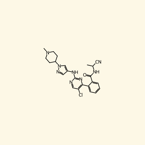 CC(C#N)NC(=O)c1ccccc1-c1nc(Nc2cnn(C3CCN(C)CC3)c2)ncc1Cl